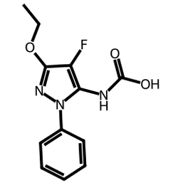 CCOc1nn(-c2ccccc2)c(NC(=O)O)c1F